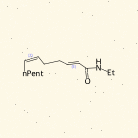 CCCCC/C=C\CC/C=C/C(=O)NCC